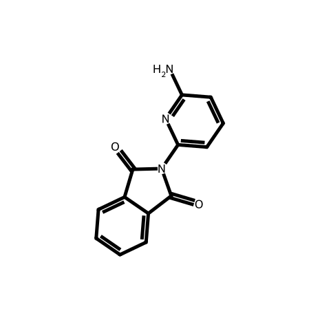 Nc1cccc(N2C(=O)c3ccccc3C2=O)n1